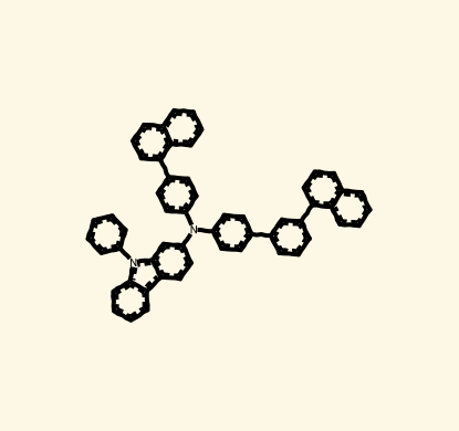 c1ccc(-n2c3ccccc3c3ccc(N(c4ccc(-c5cccc(-c6cccc7ccccc67)c5)cc4)c4ccc(-c5cccc6ccccc56)cc4)cc32)cc1